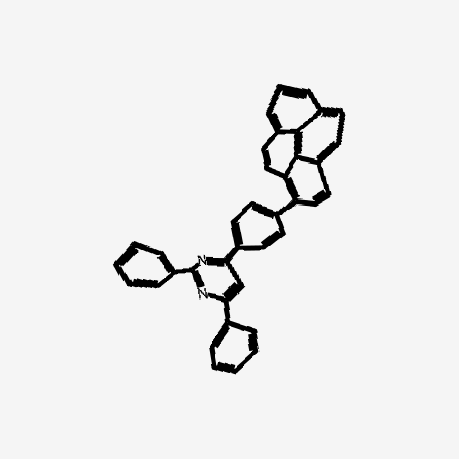 c1ccc(-c2cc(-c3ccc(-c4ccc5ccc6cccc7ccc4c5c67)cc3)nc(-c3ccccc3)n2)cc1